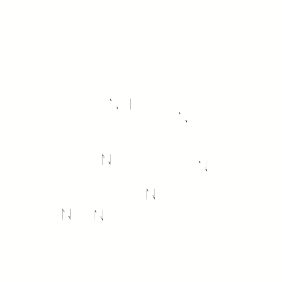 c1ccc(Cn2cnc3nc(-n4cccn4)nc(NC4CCCCC4)c32)cc1